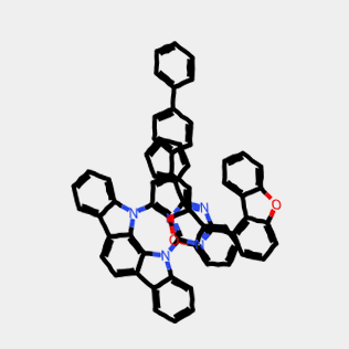 c1ccc(-c2ccc(-c3cc(-n4c5ccccc5c5ccc6c7ccccc7n(-c7nc(-c8ccccc8)nc(-c8cccc9oc%10ccccc%10c89)n7)c6c54)c4oc5ccccc5c4c3)cc2)cc1